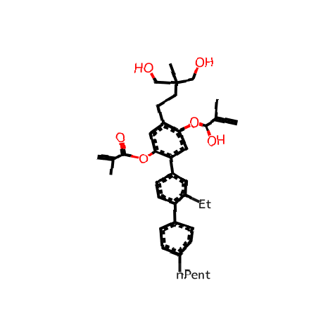 C=C(C)C(=O)Oc1cc(CCC(C)(CO)CO)c(OC(O)C(=C)C)cc1-c1ccc(-c2ccc(CCCCC)cc2)c(CC)c1